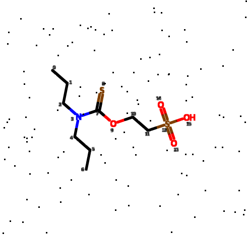 CCCN(CCC)C(=S)OCCS(=O)(=O)O